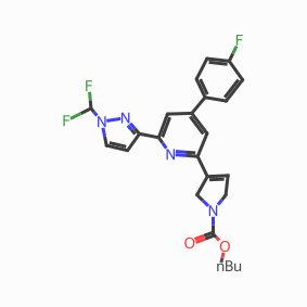 CCCCOC(=O)N1CC=C(c2cc(-c3ccc(F)cc3)cc(-c3ccn(C(F)F)n3)n2)C1